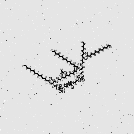 CCCCCCCCCCCCCC(=O)N[C@@H](CCOP(=O)(O)OCCNC(=O)NCCOP(=O)(O)OCC[C@@H](COCC[C@@H](CCCCCCC)OC(=O)CCCCCCCCCCC)NC(=O)CCCCCCCCCCCCC)COCC[C@@H](CCCCCCC)OC(C)=O